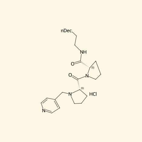 CCCCCCCCCCCCNC(=O)[C@@H]1CCCN1C(=O)[C@@H]1CCCN1Cc1ccncc1.Cl